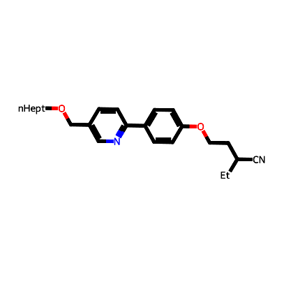 CCCCCCCOCc1ccc(-c2ccc(OCCC(C#N)CC)cc2)nc1